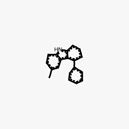 Cc1ccc2[nH]c3cccc(-c4ccccc4)c3c2c1